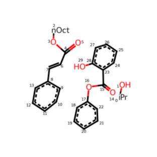 CC(C)O.CCCCCCCCOC(=O)C=Cc1ccccc1.O=C(Oc1ccccc1)c1ccccc1O